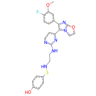 COc1cc(-c2nc3occn3c2-c2ccnc(NCCNSc3ccc(O)cc3)n2)ccc1F